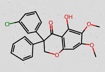 COc1cc2c(c(O)c1OC)C(=O)C(c1ccccc1)(c1cccc(Cl)c1)CO2